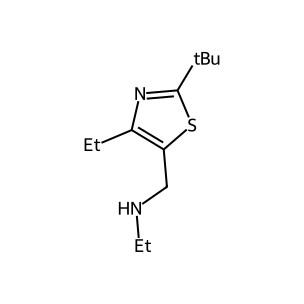 CCNCc1sc(C(C)(C)C)nc1CC